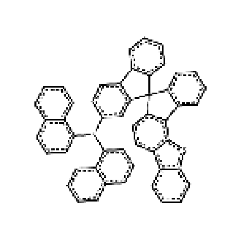 c1ccc2c(c1)-c1ccc(N(c3cccc4ccccc34)c3cccc4ccccc34)cc1C21c2ccccc2-c2c1ccc1c2sc2ccccc21